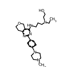 CCN(CCO)CCCNc1nc(-c2ccc(N3CCN(C)CC3)cc2)nc2c1COCC2